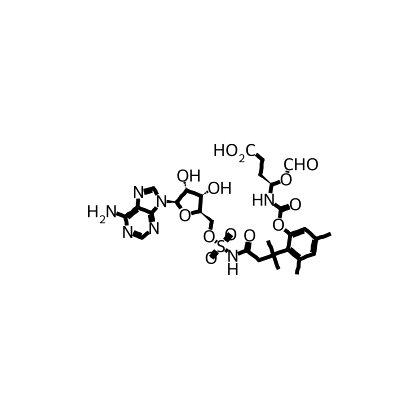 Cc1cc(C)c(C(C)(C)CC(=O)NS(=O)(=O)OC[C@H]2O[C@@H](n3cnc4c(N)ncnc43)[C@H](O)[C@@H]2O)c(OC(=O)N[C@@H](CCC(=O)O)OC=O)c1